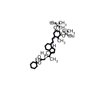 C=C1/C(=C\C=C2/CCC[C@]3(C)C(C(C)OCC(=O)OC4(CC)CCCCC4)=CC[C@@H]23)C[C@@H](O[Si](C)(C)C(C)(C)C)C[C@@H]1O[Si](C)(C)C(C)(C)C